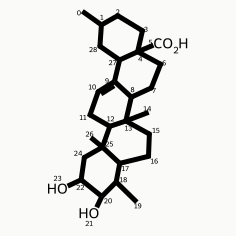 CC1CCC2(C(=O)O)CCC3C(=CCC4C3(C)CCC3C(C)C(O)C(O)CC34C)C2C1